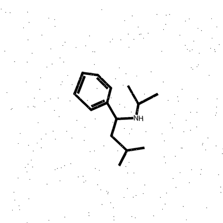 CC(C)CC(NC(C)C)c1ccccc1